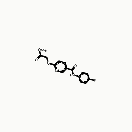 COC(=O)COc1ccc(C(=O)Nc2ccc(F)cc2)cn1